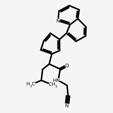 CC(C)CC(C(=O)NCC#N)c1cccc(-c2cccc3cccnc23)c1